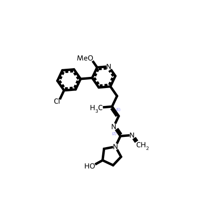 C=N/C(=N\C=C(/C)Cc1cnc(OC)c(-c2cccc(Cl)c2)c1)N1CCC(O)C1